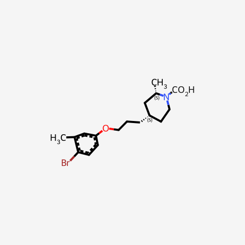 Cc1cc(OCCC[C@H]2CCN(C(=O)O)[C@@H](C)C2)ccc1Br